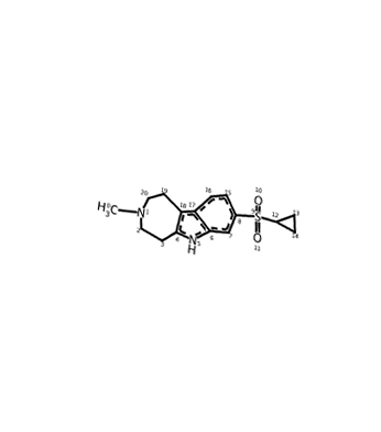 CN1CCc2[nH]c3cc(S(=O)(=O)C4CC4)ccc3c2CC1